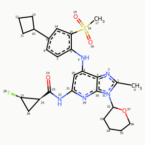 Cc1nc2c(Nc3ccc(C4CCC4)cc3S(C)(=O)=O)cc(NC(=O)[C@H]3C[C@H]3F)nc2n1C1CCCCO1